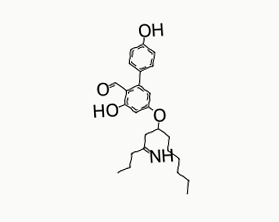 CCCCCCC(CC(=N)CCC)Oc1cc(O)c(C=O)c(-c2ccc(O)cc2)c1